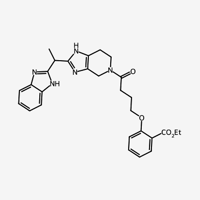 CCOC(=O)c1ccccc1OCCCC(=O)N1CCc2[nH]c(C(C)c3nc4ccccc4[nH]3)nc2C1